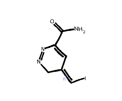 NC(=O)C1=C/C(=C\I)CN=N1